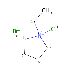 CC[N+]1(Cl)CCCC1.[Br-]